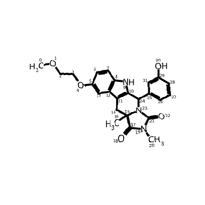 COCCOc1ccc2[nH]c3c(c2c1)CC1(C)C(=O)N(C)C(=O)N1C3c1cccc(O)c1